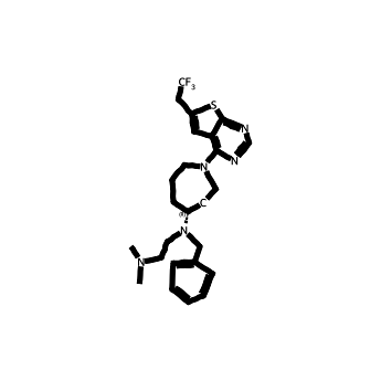 CN(C)CCN(Cc1ccccc1)[C@@H]1CCCN(c2ncnc3sc(CC(F)(F)F)cc23)CC1